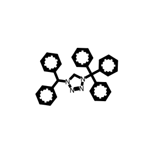 c1ccc(C(c2ccccc2)N2CN(C(c3ccccc3)(c3ccccc3)c3ccccc3)N=N2)cc1